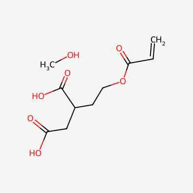 C=CC(=O)OCCC(CC(=O)O)C(=O)O.CO